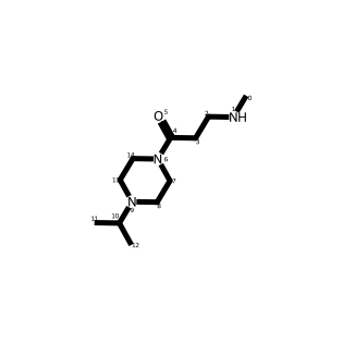 CNCCC(=O)N1CCN(C(C)C)CC1